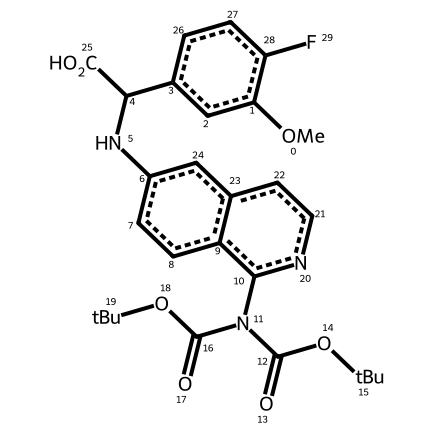 COc1cc(C(Nc2ccc3c(N(C(=O)OC(C)(C)C)C(=O)OC(C)(C)C)nccc3c2)C(=O)O)ccc1F